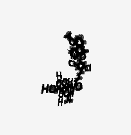 CN(C)CCN(CC(O)C(O)C(O)C(O)CO)C(=O)CCCCc1cc(Cl)c(COC2(c3cnccc3-c3ccccc3OC3CC3)CC2)cc1Cl